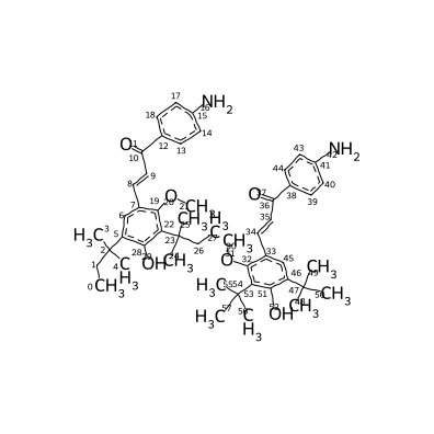 CCC(C)(C)c1cc(C=CC(=O)c2ccc(N)cc2)c(OC)c(C(C)(C)CC)c1O.COc1c(C=CC(=O)c2ccc(N)cc2)cc(C(C)(C)C)c(O)c1C(C)(C)C